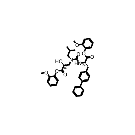 COc1ccccc1OC(=O)[C@H](Cc1ccc(-c2ccccc2)cc1)NC(=O)N(CC(C)C)C[C@H](O)C(=O)Oc1ccccc1OC